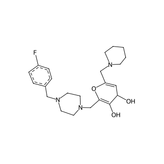 OC1=C(CN2CCN(Cc3ccc(F)cc3)CC2)OC(CN2CCCCC2)=CC1O